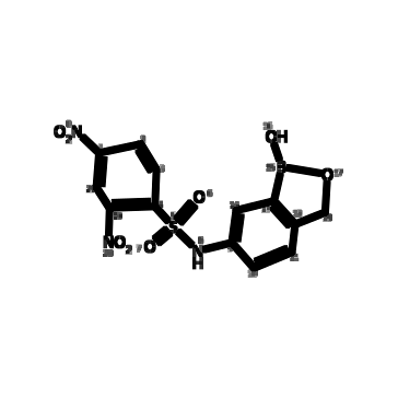 O=[N+]([O-])c1ccc(S(=O)(=O)Nc2ccc3c(c2)B(O)OC3)c([N+](=O)[O-])c1